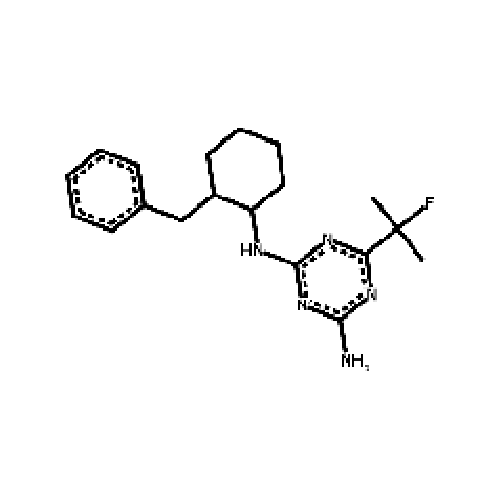 CC(C)(F)c1nc(N)nc(NC2CCCCC2Cc2ccccc2)n1